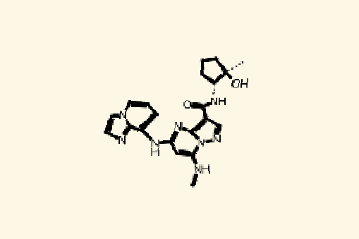 CNc1cc(Nc2cccn3ccnc23)nc2c(C(=O)N[C@@H]3CCC[C@@]3(C)O)cnn12